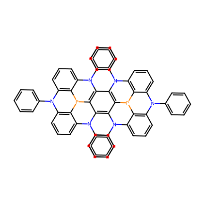 c1ccc(-n2c3cccc4c3p3c5c2cccc5n(-c2ccccc2)c2c5c6c(c(c23)n4-c2ccccc2)n(-c2ccccc2)c2cccc3c2p6c2c(cccc2n5-c2ccccc2)n3-c2ccccc2)cc1